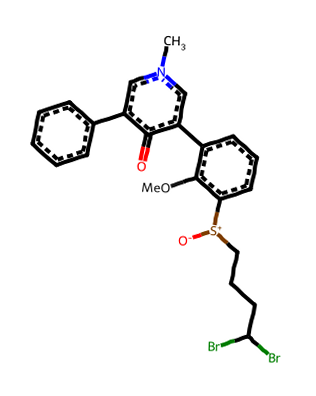 COc1c(-c2cn(C)cc(-c3ccccc3)c2=O)cccc1[S+]([O-])CCCC(Br)Br